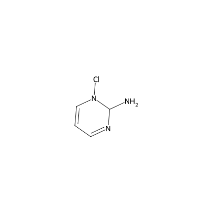 NC1N=CC=CN1Cl